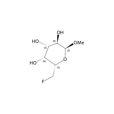 CO[C@H]1O[C@H](CF)[C@H](O)[C@H](O)[C@H]1O